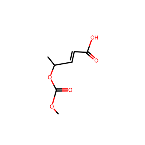 COC(=O)OC(C)C=CC(=O)O